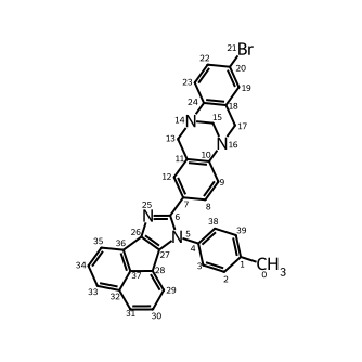 Cc1ccc(-n2c(-c3ccc4c(c3)CN3CN4Cc4cc(Br)ccc43)nc3c2-c2cccc4cccc-3c24)cc1